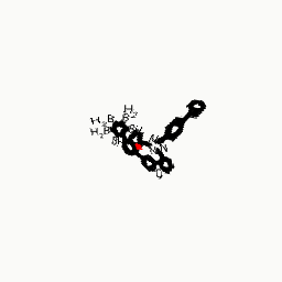 Bc1c(B)c(B)c(-c2ccc(-c3ccc4oc5cccc(-c6nc(-c7ccccc7)nc(-c7ccc(-c8ccccc8)cc7)n6)c5c4c3)cc2)c(B)c1B